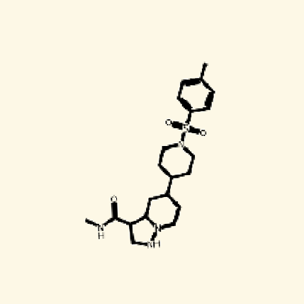 CNC(=O)C1CNN2CCC(C3CCN(S(=O)(=O)c4ccc(C)cc4)CC3)CC12